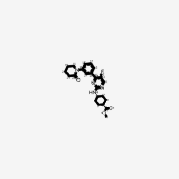 COC(=O)[C@H]1CC[C@H](Nc2ncc(F)c(-c3cccc(N4CCCCC4=O)c3)n2)CC1